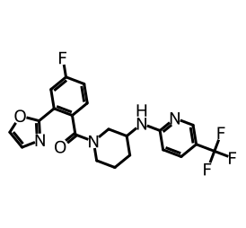 O=C(c1ccc(F)cc1-c1ncco1)N1CCCC(Nc2ccc(C(F)(F)F)cn2)C1